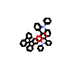 c1ccc(N(c2ccccc2)c2ccccc2-c2ccc(-c3ccccc3N(c3ccccc3)c3ccccc3)c3c2Oc2cc4c(cc2O3)C2(c3ccccc3-c3ccccc32)c2ccccc2-4)cc1